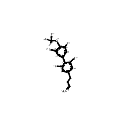 C=CCCc1cc(F)c(-c2cc(F)c(OC(F)(F)F)c(F)c2)c(F)c1